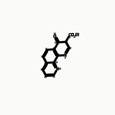 CCOC(=O)C1C=Nc2c(ccc3cccnc23)C1=O